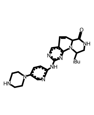 CCC(C)C1CNC(=O)C2C=Cc3cnc(Nc4ccc(N5CCNCC5)cn4)nc3N21